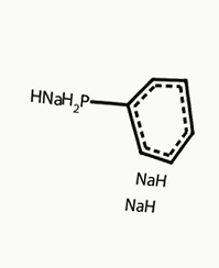 Pc1ccccc1.[NaH].[NaH].[NaH]